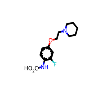 O=C(O)Nc1ccc(OCCN2CCCCC2)cc1F